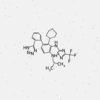 CC(C)CNc1ccc(-c2ccccc2-c2nnn[nH]2)c(C2CCCCC2)c1Nc1nc(C(F)(F)F)ns1